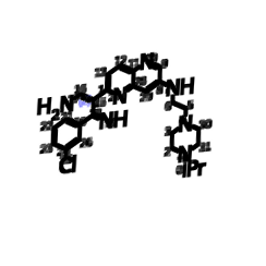 CC(C)N1CCN(CCNc2cnc3ccc(/C(=C/N)C(=N)c4cccc(Cl)c4)nc3c2)CC1